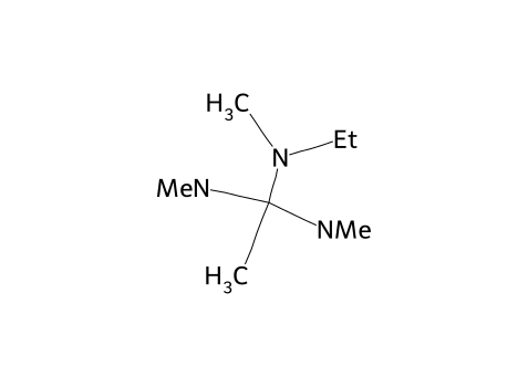 CCN(C)C(C)(NC)NC